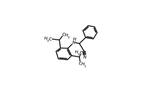 CC(C)c1cccc(C(C)C)c1NC(C#N)c1ccccc1